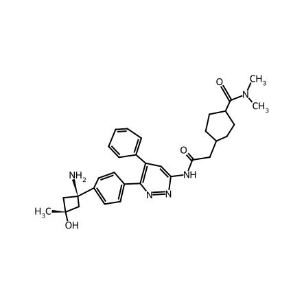 CN(C)C(=O)C1CCC(CC(=O)Nc2cc(-c3ccccc3)c(-c3ccc([C@]4(N)C[C@](C)(O)C4)cc3)nn2)CC1